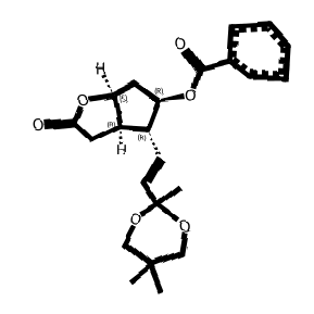 CC1(C)COC(C)(C=C[C@@H]2[C@H]3CC(=O)O[C@H]3C[C@H]2OC(=O)c2ccccc2)OC1